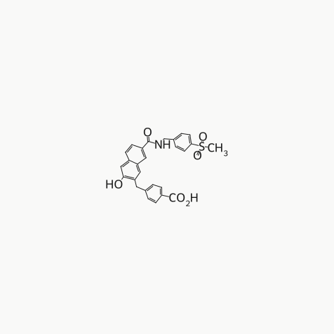 CS(=O)(=O)c1ccc(CNC(=O)c2ccc3cc(O)c(Cc4ccc(C(=O)O)cc4)cc3c2)cc1